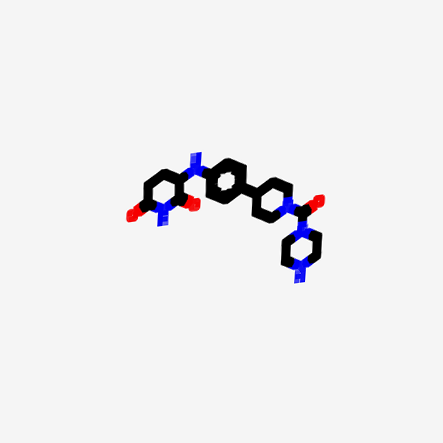 O=C1CCC(Nc2ccc(C3CCN(C(=O)N4CCNCC4)CC3)cc2)C(=O)N1